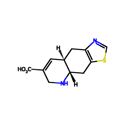 O=C(O)C1=C[C@H]2Cc3ncsc3C[C@@H]2NC1